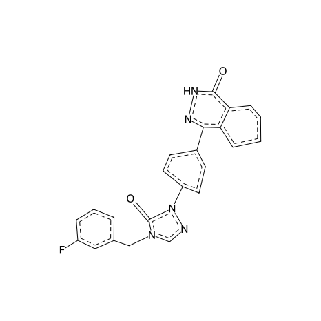 O=c1[nH]nc(-c2ccc(-n3ncn(Cc4cccc(F)c4)c3=O)cc2)c2ccccc12